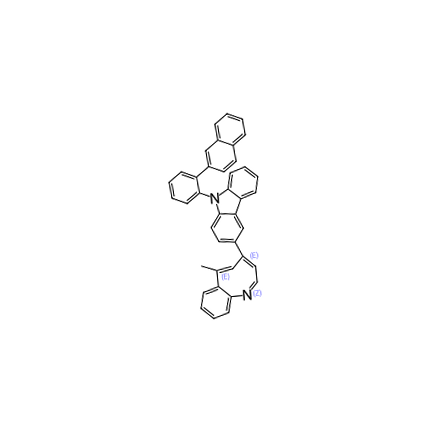 C\C1=C/C(c2ccc3c(c2)c2ccccc2n3-c2ccccc2-c2ccc3ccccc3c2)=C\C=N/c2ccccc21